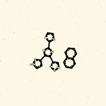 c1ccc2ccccc2c1.c1coc(-c2nc(-c3conn3)c(-c3cc[nH]n3)o2)n1